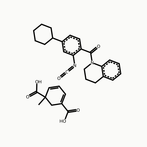 CC1(C(=O)O)C=CC=C(C(=O)O)C1.O=C=Nc1cc(C2CCCCC2)ccc1C(=O)N1CCCc2ccccc21